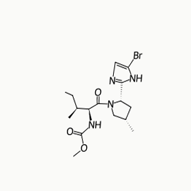 CC[C@H](C)[C@H](NC(=O)OC)C(=O)N1C[C@@H](C)C[C@H]1c1ncc(Br)[nH]1